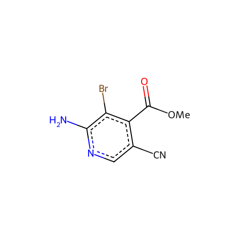 COC(=O)c1c(C#N)cnc(N)c1Br